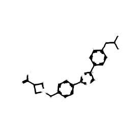 CC(C)Cc1ccc(-c2cnc(-c3ccc(CN4CC(C(=O)O)C4)cc3)s2)cc1